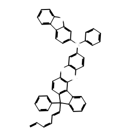 C=C/C=C\C=C\C1(c2ccccc2)c2ccccc2-c2c1ccc1c2Oc2ccc(N(c3ccccc3)c3ccc4c(c3)oc3ccccc34)cc2O1